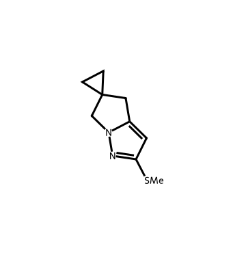 CSc1cc2n(n1)CC1(CC1)C2